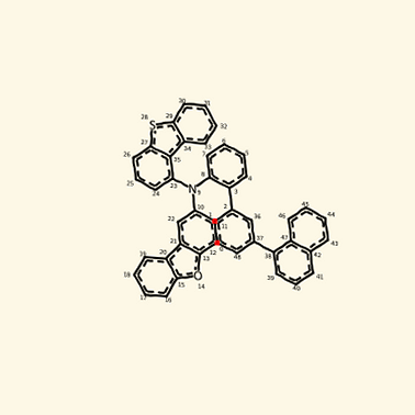 c1cc(-c2ccccc2N(c2ccc3oc4ccccc4c3c2)c2cccc3sc4ccccc4c23)cc(-c2cccc3ccccc23)c1